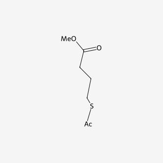 COC(=O)CCCSC(C)=O